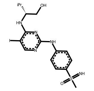 CC(C)[C@H](CO)Nc1nc(Nc2ccc(S(C)(=N)=O)cc2)ncc1I